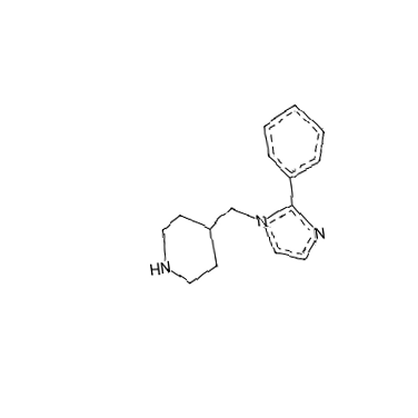 c1ccc(-c2nccn2CC2CCNCC2)cc1